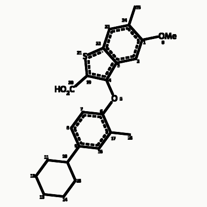 COc1cc2c(Oc3ccc(C4CCCCC4)cc3C)c(C(=O)O)sc2cc1C